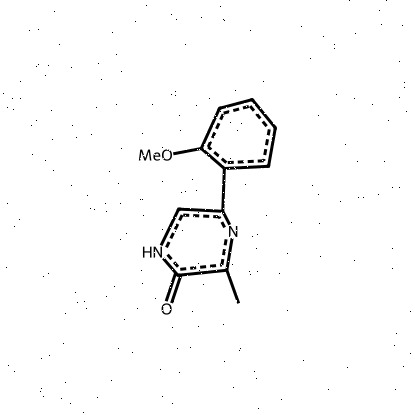 COc1ccccc1-c1c[nH]c(=O)c(C)n1